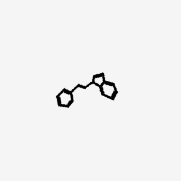 C1=CC(CCc2ccccc2)c2ccccc21